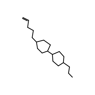 C=CCCCC1CCC(C2CCC(CCC)CC2)CC1